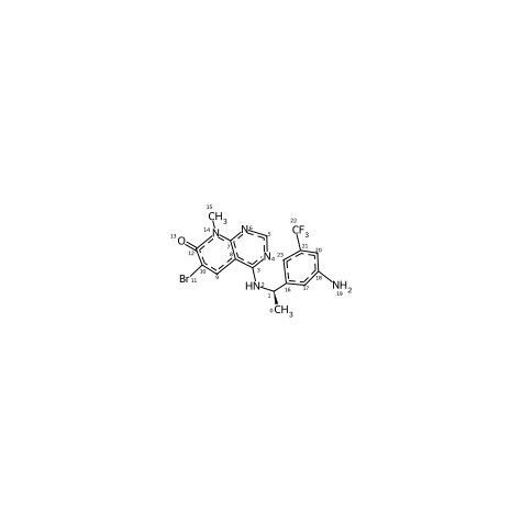 C[C@@H](Nc1ncnc2c1cc(Br)c(=O)n2C)c1cc(N)cc(C(F)(F)F)c1